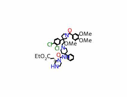 CCOC(=O)CC[C@H]1CNCCN1C(=O)NC1(c2ccccc2)CCN(CCC2(c3ccc(Cl)c(Cl)c3)CCN(C(=O)c3cc(OC)c(OC)c(OC)c3)C2)CC1